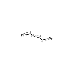 CCCC[N]OCCCC